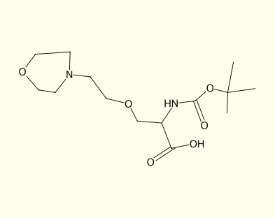 CC(C)(C)OC(=O)NC(COCCN1CCOCC1)C(=O)O